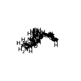 Cc1cc2c(F)c(Oc3ncnn4cc(OC[C@@H](C)OC(=O)c5ccc(-c6ccc(C[C@@H](NC(=O)C(CCN)NC(=O)[C@H](CCNC(=O)C[C@@H](C)O)NC(=O)CNC(=O)[C@@H](N)[C@@H](C)O)C(=O)NCC(=O)N[C@@H](CCN)C(=O)NCC(N)=O)cc6)cc5)c(C)c34)ccc2[nH]1